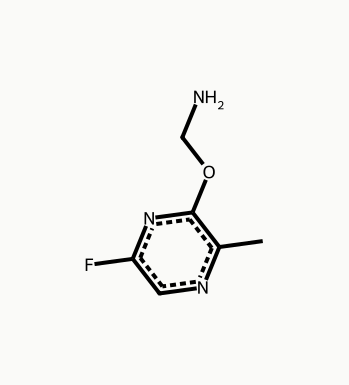 Cc1ncc(F)nc1OCN